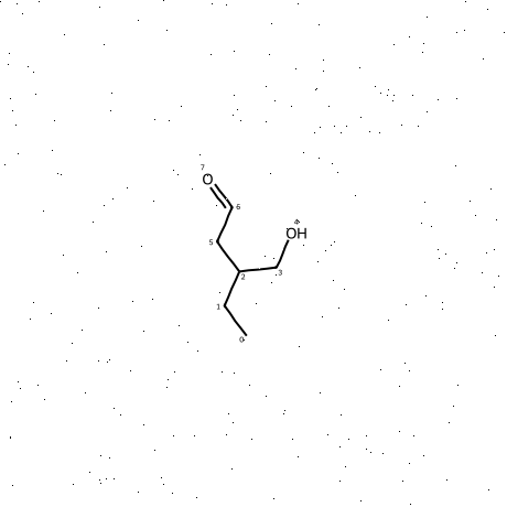 CCC(CO)CC=O